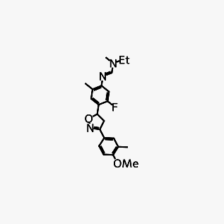 CCN(C)C=Nc1cc(F)c(C2CC(c3ccc(OC)c(C)c3)=NO2)cc1C